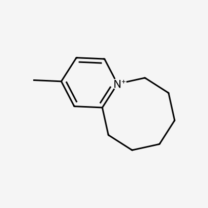 Cc1cc[n+]2c(c1)CCCCCC2